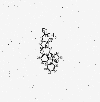 C=C(CC)CC1CC(=O)N(CCN2CCOC2(c2ccccc2)c2ccccc2)C1=O